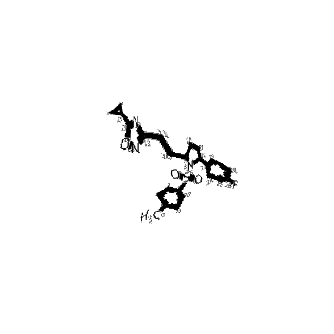 Cc1ccc(S(=O)(=O)N2C(CCc3noc(C4CC4)n3)CCC2c2ccc(F)cc2)cc1